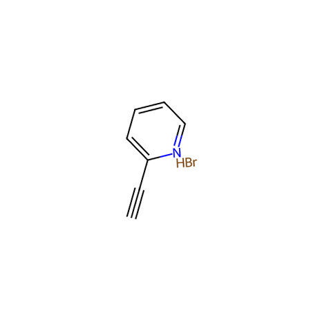 Br.C#Cc1ccccn1